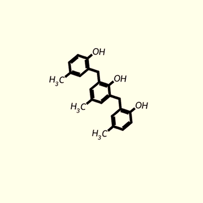 Cc1ccc(O)c(Cc2cc(C)cc(Cc3cc(C)ccc3O)c2O)c1